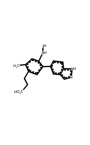 Cc1cc(NC(C)C)c(-c2ccc3[nH]ncc3c2)cc1CCC(=O)O